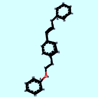 C(=Cc1ccc(CCOc2ccccc2)cc1)Cc1ccccc1